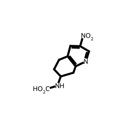 O=C(O)NC1CCc2cc([N+](=O)[O-])cnc2C1